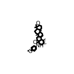 COc1ccc(NC(=O)[C@]23CC[C@@H](C)[C@H](C)C2C2=CCC4[C@@]5(C)CCC(=O)C(C)(C)C5CC[C@@]4(C)[C@]2(C)CC3)cc1